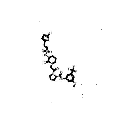 COc1cc(NC(=O)[C@H]2CCCN2C(=O)CN2CCC[C@H](NS(=O)(=O)/C=C/c3ccc(Cl)s3)C2=O)cc(C(F)(F)F)c1